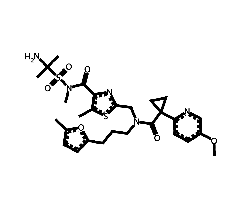 COc1ccc(C2(C(=O)N(CCCc3ccc(C)o3)Cc3nc(C(=O)N(C)S(=O)(=O)C(C)(C)N)c(C)s3)CC2)nc1